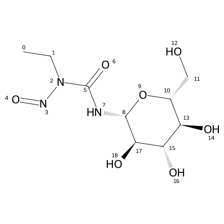 CCN(N=O)C(=O)N[C@@H]1O[C@H](CO)[C@@H](O)[C@H](O)[C@H]1O